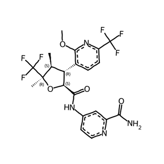 COc1nc(C(F)(F)F)ccc1[C@@H]1[C@@H](C(=O)Nc2ccnc(C(N)=O)c2)O[C@@](C)(C(F)(F)F)[C@H]1C